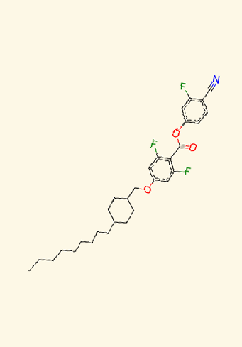 CCCCCCCCCC1CCC(COc2cc(F)c(C(=O)Oc3ccc(C#N)c(F)c3)c(F)c2)CC1